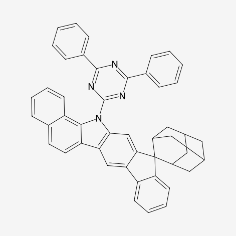 c1ccc(-c2nc(-c3ccccc3)nc(-n3c4cc5c(cc4c4ccc6ccccc6c43)-c3ccccc3C53C4CC5CC(C4)CC3C5)n2)cc1